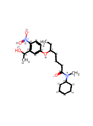 CCC(CCCC(=O)N(C)C1CCCCC1)Oc1ccc([N+](=O)[O-])c(C(C)O)c1